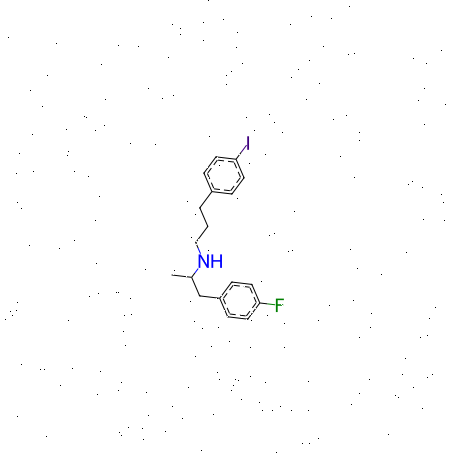 CC(Cc1ccc(F)cc1)NCCCc1ccc(I)cc1